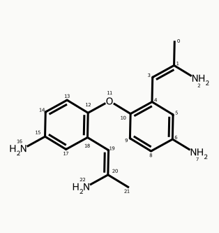 CC(N)=Cc1cc(N)ccc1Oc1ccc(N)cc1C=C(C)N